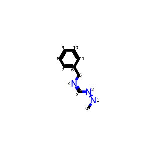 C/N=N\C=N/Cc1ccccc1